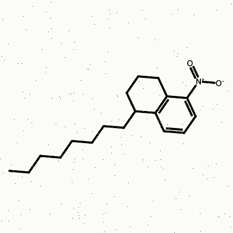 CCCCCCCCC1CCCc2c1cccc2[N+](=O)[O-]